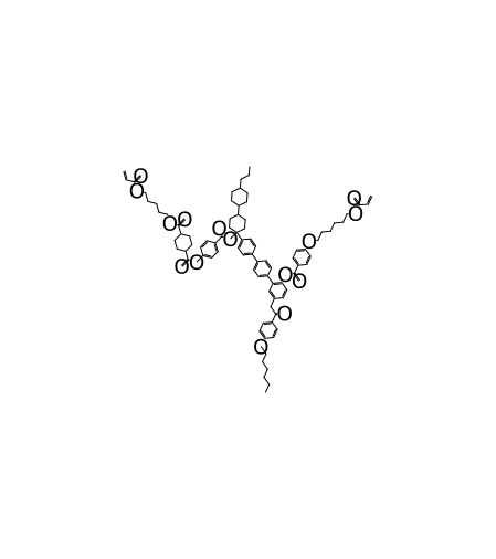 C=CC(=O)OCCCCCCOc1ccc(C(=O)Oc2ccc(CC(=O)c3ccc(OCCCCCC)cc3)cc2-c2ccc(-c3ccc(C4(OC(=O)c5ccc(OC(=O)C6CCC(C(=O)OCCCCCOC(=O)C=C)CC6)cc5)CCC(C5CCC(CCC)CC5)CC4)cc3)cc2)cc1